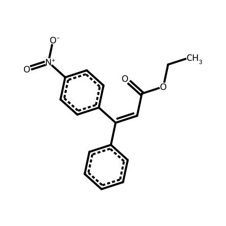 CCOC(=O)C=C(c1ccccc1)c1ccc([N+](=O)[O-])cc1